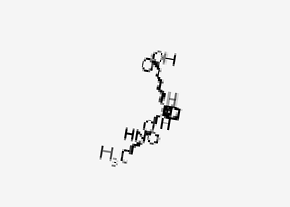 CCCCNC(=O)OCC[C@H]1[C@H](CCCCCCC(=O)O)[C@H]2CC[C@@H]1O2